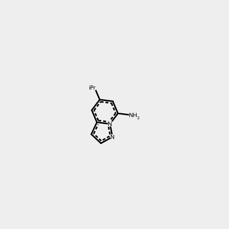 CC(C)c1cc(N)n2nccc2c1